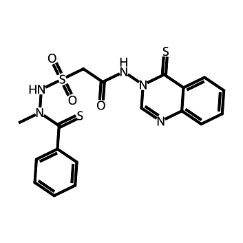 CN(NS(=O)(=O)CC(=O)Nn1cnc2ccccc2c1=S)C(=S)c1ccccc1